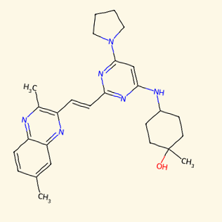 Cc1ccc2nc(C)c(C=Cc3nc(NC4CCC(C)(O)CC4)cc(N4CCCC4)n3)nc2c1